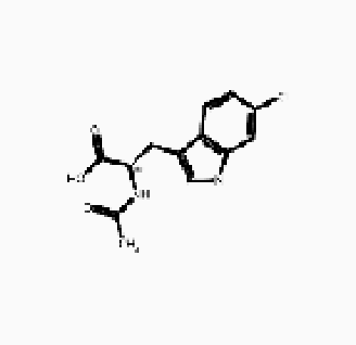 CC(=O)N[C@H](Cc1c[nH]c2cc(Cl)ccc12)C(=O)O